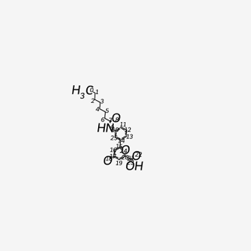 CCCCCCCC(=O)Nc1cccc(-c2cc(=O)cc(C(=O)O)o2)c1